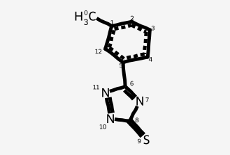 Cc1cccc(C2=NC(=S)N=N2)c1